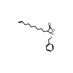 C=CCCCCCCCC1C(=O)O[C@@H]1CCc1ccccc1